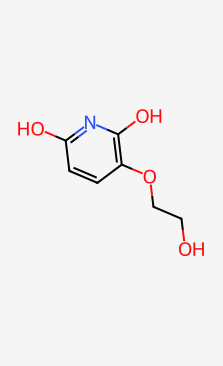 OCCOc1ccc(O)nc1O